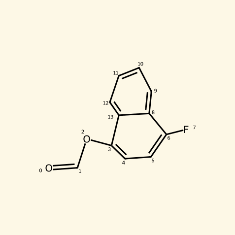 O=COc1ccc(F)c2ccccc12